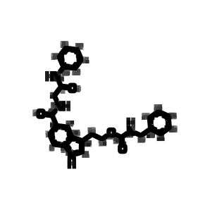 O=C(CNC(=O)c1ccc2[nH]cc(CCOC(=O)NCc3ccccc3)c2c1)Nc1ccccc1